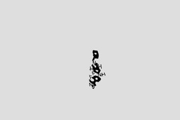 Cc1nn(C)cc1-c1ccc(N[C@@H]2C[C@@H]3CN(CC4CC5C=CC4C5)C[C@@H]3C2)c(F)c1F